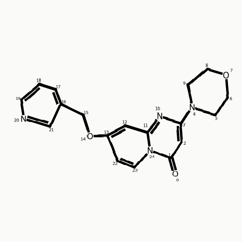 O=c1cc(N2CCOCC2)nc2cc(OCc3cccnc3)ccn12